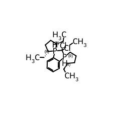 CC[C@@H]1CC[C@@H](CC)[PH]12c1ccccc1[PH]1([C@H](CC)CC[C@H]1CC)C2(Cl)Cl